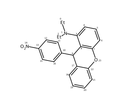 CCN(CC)c1cccc2c1C(c1ccc([N+](=O)[O-])cc1)c1ccccc1O2